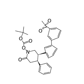 CC(C)(C)OC(=O)ON1C[C@@H](c2cccc(-c3cccc(S(C)(=O)=O)c3)c2)[C@@H](c2ccccc2)CC1=O